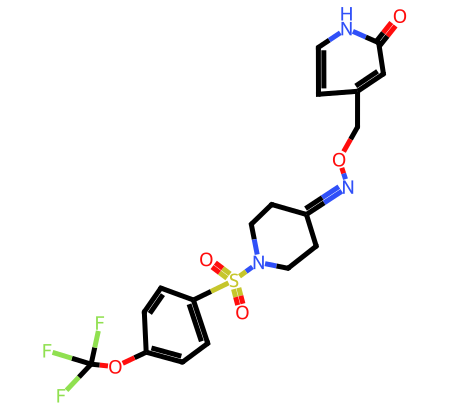 O=c1cc(CON=C2CCN(S(=O)(=O)c3ccc(OC(F)(F)F)cc3)CC2)cc[nH]1